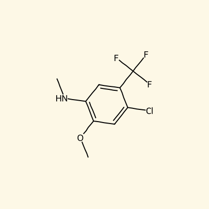 CNc1cc(C(F)(F)F)c(Cl)cc1OC